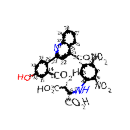 O=C(O)C[C@H](Nc1ccc([N+](=O)[O-])cc1[N+](=O)[O-])C(=O)O.O=C(O)c1cc(O)ccc1-c1cc(C(=O)O)c2ccccc2n1